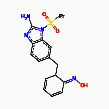 CC(C)S(=O)(=O)n1c(N)nc2ccc(CC3C=CC=CC3=NO)cc21